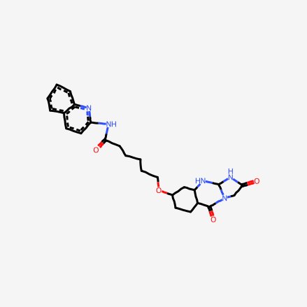 O=C(CCCCCOC1CCC2C(=O)N3CC(=O)NC3NC2C1)Nc1ccc2ccccc2n1